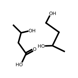 CC(O)CC(=O)O.CC(O)CCO